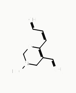 C=C/C=C\C1=C(C=C)CN(C)CO1